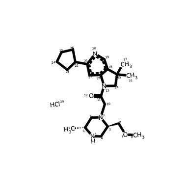 COC[C@H]1CN[C@H](C)CN1CC(=O)N1CC(C)(C)c2cnc(C3CCCC3)cc21.Cl